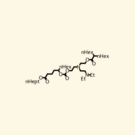 CCCCCCCOC(=O)CCCC(CCCCCC)OC(=O)OCCN(CCOC(=O)C(CCCCCC)CCCCCC)CCN(CC)CC